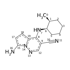 C[C@H]1CCCC[C@H]1Nc1c(C#N)cnn2c(N)ccc12